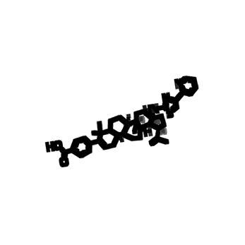 C=C(C)[C@@H]1CC[C@]2(Nc3nc(-c4ccccn4)cs3)CC[C@]3(C)[C@H](CCC4[C@@]5(C)CC=C(c6ccc(C(=O)O)cc6)C(C)(C)C5CC[C@]43C)C12